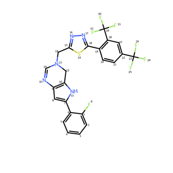 Fc1ccccc1-c1cc2c([nH]1)CN(Cc1nnc(-c3ccc(C(F)(F)F)cc3C(F)(F)F)s1)C=N2